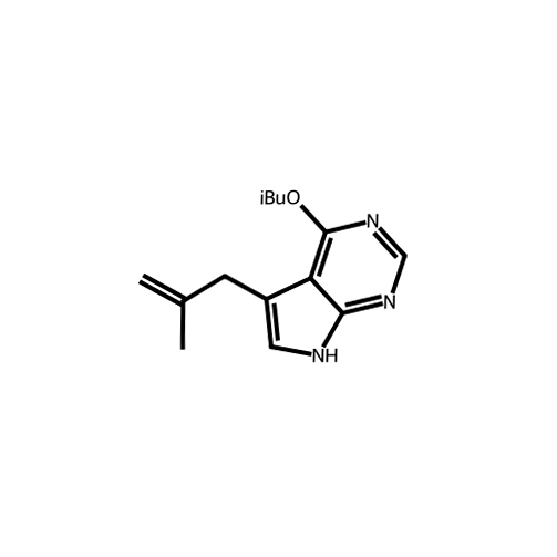 C=C(C)Cc1c[nH]c2ncnc(OCC(C)C)c12